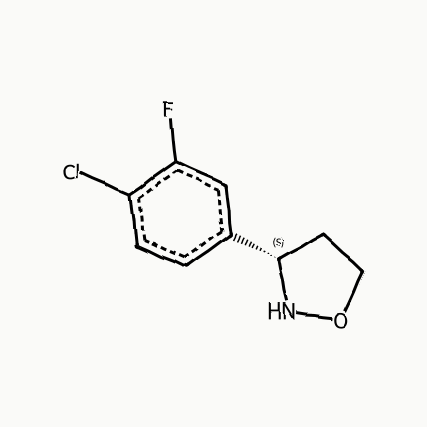 Fc1cc([C@@H]2CCON2)ccc1Cl